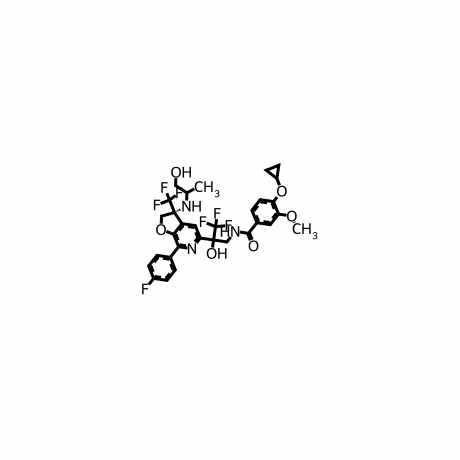 COc1cc(C(=O)NCC(O)(c2cc3c(c(-c4ccc(F)cc4)n2)OC[C@@]3(NC(C)CO)C(F)(F)F)C(F)(F)F)ccc1OC1CC1